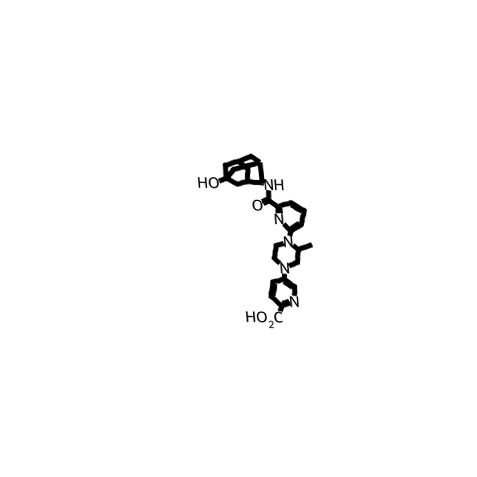 CC1CN(c2ccc(C(=O)O)nc2)CCN1c1cccc(C(=O)NC2C3CC4CC2CC(O)(C4)C3)n1